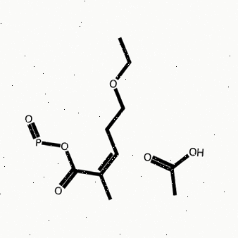 CC(=O)O.CCOCCC=C(C)C(=O)OP=O